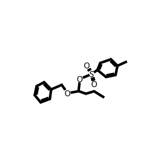 CCCC(OCc1ccccc1)OS(=O)(=O)c1ccc(C)cc1